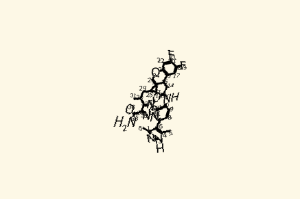 Cc1n[nH]c(C)c1-c1ccc(NC(=O)CC2c3cc(F)c(F)cc3OCC23CC3CC(C)c2nonc2C(N)=O)cn1